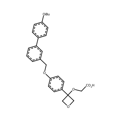 CC(C)COc1ccc(-c2cccc(COc3ccc(C4(OCC(=O)O)COC4)cc3)c2)cc1